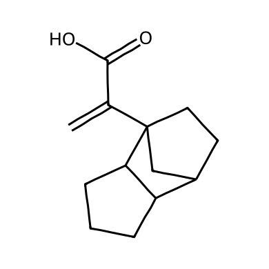 C=C(C(=O)O)C12CCC(C1)C1CCCC12